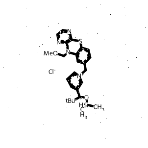 COCN1c2cc(C[n+]3cccc(C(O[SiH](C)C)C(C)(C)C)c3)ccc2Sc2nccnc21.[Cl-]